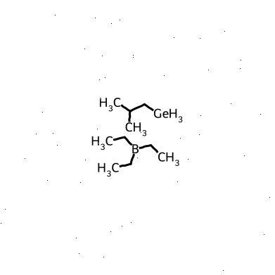 CC(C)[CH2][GeH3].CCB(CC)CC